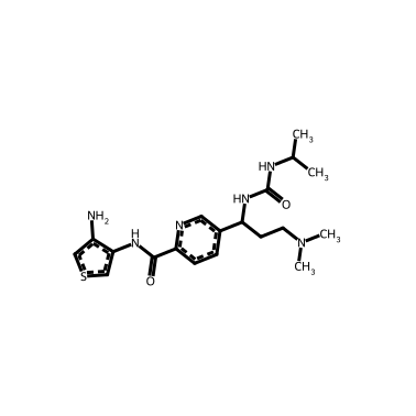 CC(C)NC(=O)NC(CCN(C)C)c1ccc(C(=O)Nc2cscc2N)nc1